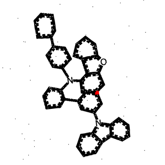 c1ccc(-c2ccc(N(c3ccccc3-c3cccc(-n4c5ccccc5c5ccccc54)c3)c3cccc4oc5ccccc5c34)cc2)cc1